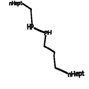 CCCCCCCCCCPPCCCCCCCC